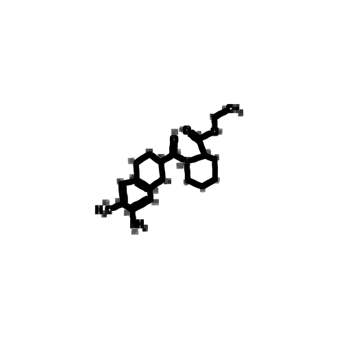 CCOC(=O)C1CCCCN1C(=O)C1CCc2cc(C)c(N)cc2C1